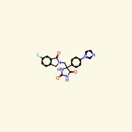 O=C1NC(=O)C(CN2Cc3ccc(F)cc3C2=O)(c2ccc(-n3ccnc3)cc2)N1